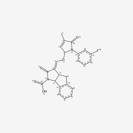 CC1=CC(OC=C2C(=O)N(C(=O)O)C3c4ccccc4CC23)N(c2cccc(F)c2)C1=O